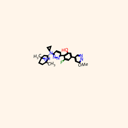 COc1cc(-c2cc(O)c(-c3ccc(N(C4CC4)[C@@H]4C[C@]5(C)CC[C@](C)(C4)N5)nn3)c(F)c2)cnn1